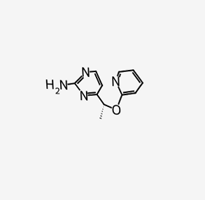 C[C@@H](Oc1ccccn1)c1ccnc(N)n1